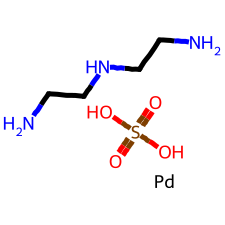 NCCNCCN.O=S(=O)(O)O.[Pd]